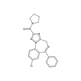 O=C(c1nc2n(n1)-c1ccc(Cl)cc1C(c1ccccc1)=NC2)N1CCCC1